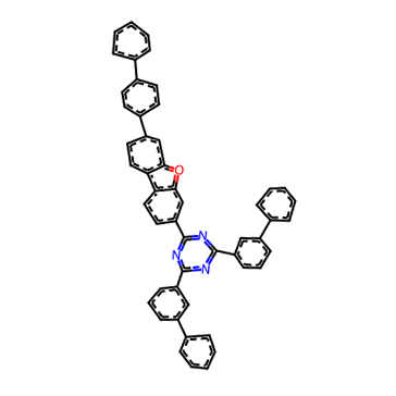 c1ccc(-c2ccc(-c3ccc4c(c3)oc3cc(-c5nc(-c6cccc(-c7ccccc7)c6)nc(-c6cccc(-c7ccccc7)c6)n5)ccc34)cc2)cc1